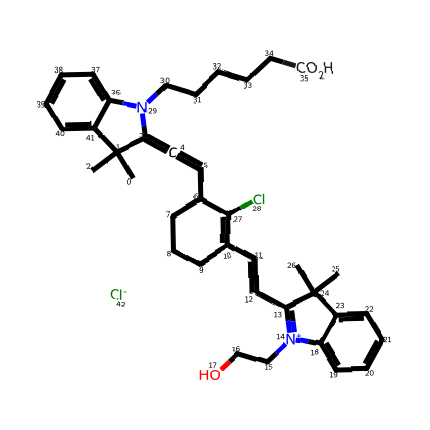 CC1(C)C(=C=CC2CCCC(/C=C/C3=[N+](CCO)c4ccccc4C3(C)C)=C2Cl)N(CCCCCC(=O)O)c2ccccc21.[Cl-]